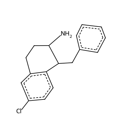 NC1CCc2cc(Cl)ccc2C1Cc1ccccc1